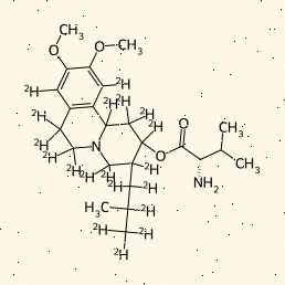 [2H]c1c(OC)c(OC)c([2H])c2c1C([2H])([2H])C([2H])([2H])N1C([2H])([2H])C([2H])(C([2H])([2H])C([2H])(C)C([2H])([2H])[2H])C([2H])(OC(=O)[C@@H](N)C(C)C)C([2H])([2H])C21[2H]